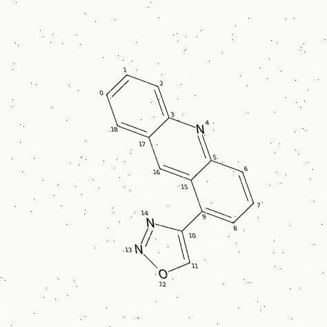 c1ccc2nc3cccc(-c4conn4)c3cc2c1